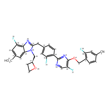 N#Cc1ccc(COc2nc(-c3ccc(Cc4nc5c(F)cc(C(=O)O)cc5n4C[C@@H]4CCO4)cc3F)ncc2F)c(F)c1